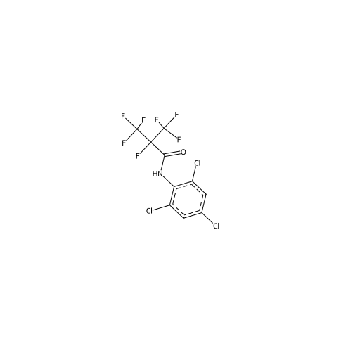 O=C(Nc1c(Cl)cc(Cl)cc1Cl)C(F)(C(F)(F)F)C(F)(F)F